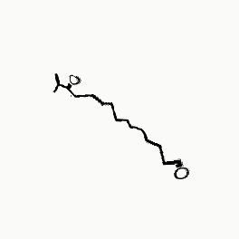 C=C(C)C(=O)[CH]CCCCCCCCCCC=O